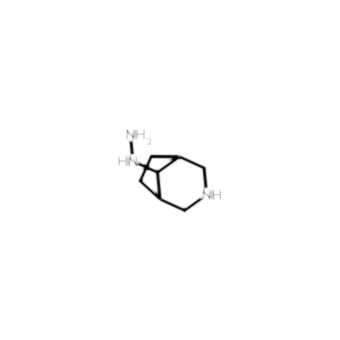 NNC1C2CCC1CNC2